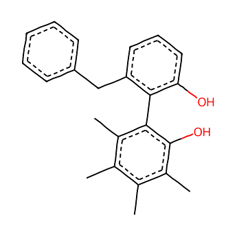 Cc1c(C)c(C)c(-c2c(O)cccc2Cc2ccccc2)c(O)c1C